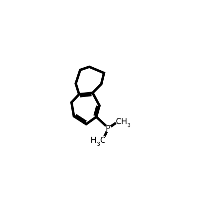 CP(C)C1=CC2=C(CC=C1)CCCCC2